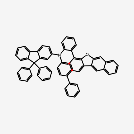 c1ccc(-c2ccc(N(c3ccc4c(c3)C(c3ccccc3)(c3ccccc3)c3ccccc3-4)c3ccccc3-c3cccc4c3oc3cc5ccccc5cc34)cc2)cc1